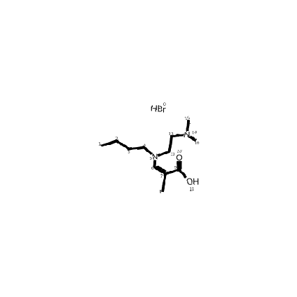 Br.CCCCN(C=C(C)C(=O)O)CCN(C)C